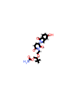 CC(C)(C)C(COC(N)=O)OCCN1C(=O)CCC(N2Cc3cc(O)ccc3C2=O)C1=O